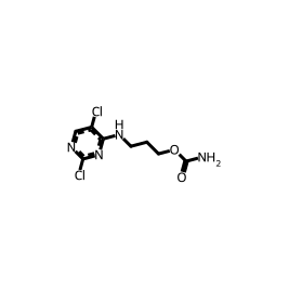 NC(=O)OCCCNc1nc(Cl)ncc1Cl